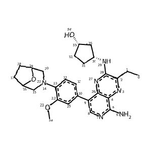 CCc1nc2c(N)ncc(-c3ccc(N4CC5CCC(C4)O5)c(OC)c3)c2nc1N[C@@H]1CC[C@H](O)C1